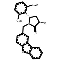 COc1cccc(OC)c1[C@@H]1C[C@H](F)C(=O)N1Cc1ccc2oc3ccccc3c2c1